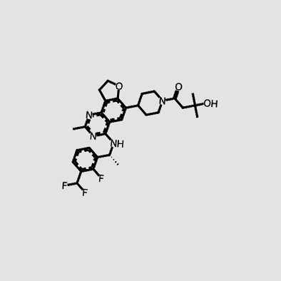 Cc1nc(N[C@H](C)c2cccc(C(F)F)c2F)c2cc(C3CCN(C(=O)CC(C)(C)O)CC3)c3c(c2n1)CCO3